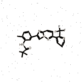 Cc1ccc(-c2cn3nc(-c4cccnc4C(F)(F)F)ccc3n2)cc1NC(=O)C(C)(C)C